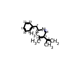 C=C(C)C(/C=N\CCc1ccccc1)=C(C)C